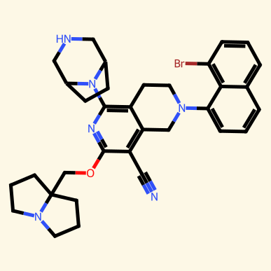 N#Cc1c(OCC23CCCN2CCC3)nc(N2C3CCC2CNC3)c2c1CN(c1cccc3cccc(Br)c13)CC2